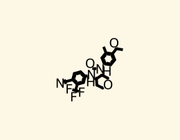 CC(=O)c1ccc(N2C(=O)N(c3ccc(C#N)c(C(F)(F)F)c3)[C@H]3CCOC[C@@H]32)cc1C